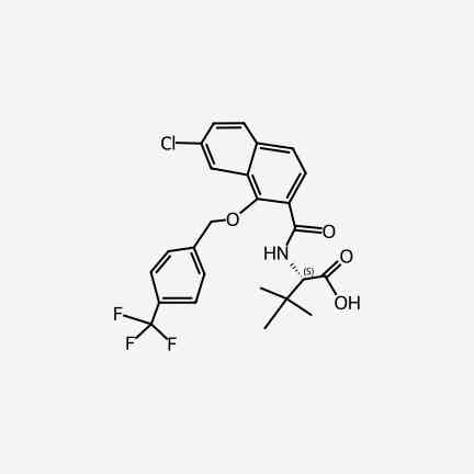 CC(C)(C)[C@H](NC(=O)c1ccc2ccc(Cl)cc2c1OCc1ccc(C(F)(F)F)cc1)C(=O)O